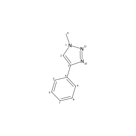 Cn1cc(-c2[c]cccc2)nn1